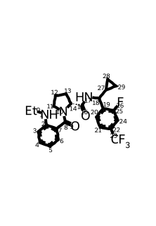 CCNc1ccccc1C(=O)N1CCC[C@@H]1C(=O)NC(c1ccc(C(F)(F)F)cc1F)C1CC1